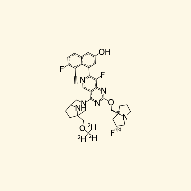 [2H]C([2H])([2H])OCC12CCC(CN(c3nc(OC[C@@]45CCCN4C[C@H](F)C5)nc4c(F)c(-c5cc(O)cc6ccc(F)c(C#C)c56)ncc34)C1)N2